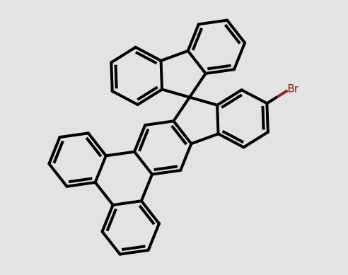 Brc1ccc2c(c1)C1(c3ccccc3-c3ccccc31)c1cc3c4ccccc4c4ccccc4c3cc1-2